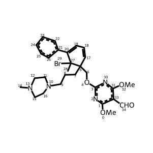 COc1nc(OCC2(CCCN3CCN(C)CC3)C=CC=C(c3ccccc3)C2(C)Br)nc(OC)c1C=O